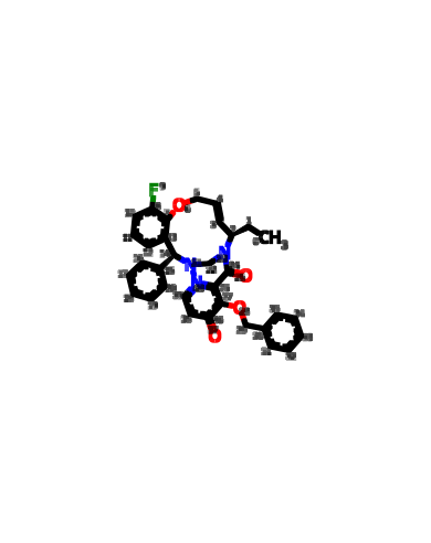 CC[C@@H]1/C=C/COc2c(F)cccc2[C@H](c2ccccc2)N2CN1C(=O)c1c(OCc3ccccc3)c(=O)ccn12